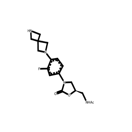 CC(=O)NC[C@@H]1CN(c2ccc(N3CC4(CNC4)C3)c(F)c2)C(=O)O1